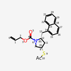 C=CCOC(=O)N1C[C@@H](SC(C)=O)C[C@H]1Cc1cccc2ccccc12